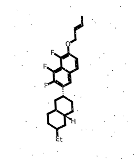 C/C=C/COc1ccc2cc([C@@H]3CC[C@@H]4CC(CC)CCC4C3)c(F)c(F)c2c1F